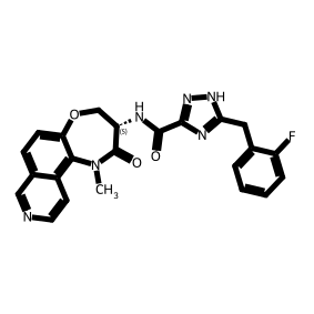 CN1C(=O)[C@@H](NC(=O)c2n[nH]c(Cc3ccccc3F)n2)COc2ccc3cnccc3c21